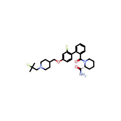 CC(C)(F)CN1CCC(COc2ccc(-c3ccccc3C(=O)N3CCCC[C@@H]3C(N)=O)c(F)c2)CC1